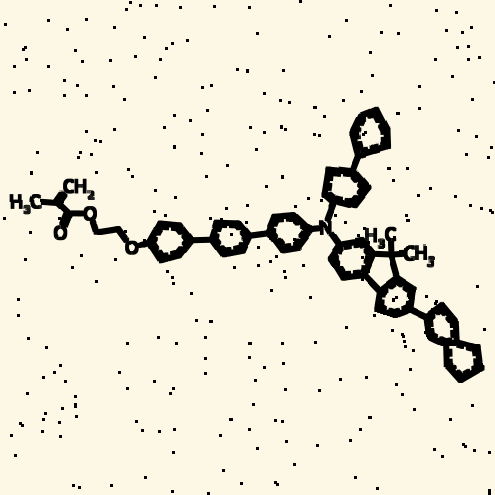 C=C(C)C(=O)OCCOc1ccc(-c2ccc(-c3ccc(N(c4ccc(-c5ccccc5)cc4)c4ccc5c(c4)C(C)(C)c4cc(-c6ccc7ccccc7c6)ccc4-5)cc3)cc2)cc1